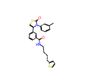 Cc1cccc(-n2c(-c3cccc(C(=O)NCCCCc4cccs4)c3)csc2=O)c1